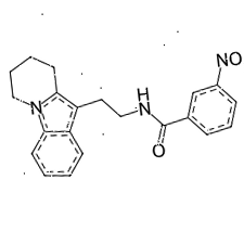 O=C(NCCc1c2n(c3ccccc13)CCCC2)c1cccc([N+](=O)[O-])c1